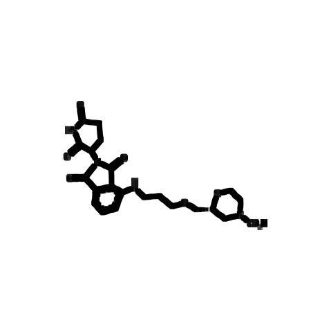 O=C1CCC(N2C(=O)c3cccc(NCCCOC[C@H]4CN(C(=O)O)CCO4)c3C2=O)C(=O)N1